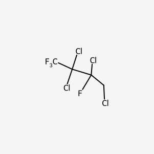 FC(F)(F)C(Cl)(Cl)C(F)(Cl)CCl